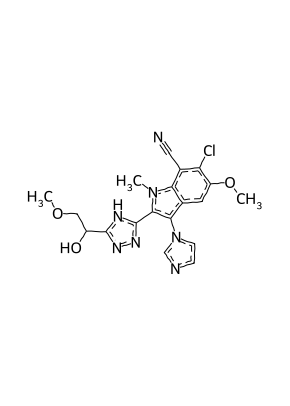 COCC(O)c1nnc(-c2c(-n3ccnc3)c3cc(OC)c(Cl)c(C#N)c3n2C)[nH]1